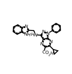 O=C(O)c1nc2c(NCc3nc4ccccc4[nH]3)nn(-c3ccccc3)c2nc1C1CC1